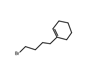 BrCCCCC1=CCCCC1